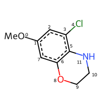 COc1cc(Cl)c2c(c1)OCCN2